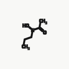 CCCN(O)C(C)=O